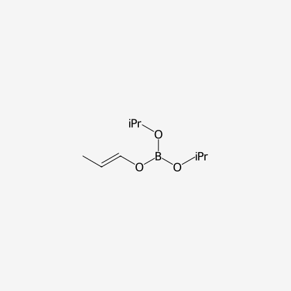 CC=COB(OC(C)C)OC(C)C